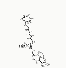 Br.Br.NC1c2ccc(O)c(O)c2CCC1CCCCCCCCNCCc1ccccc1